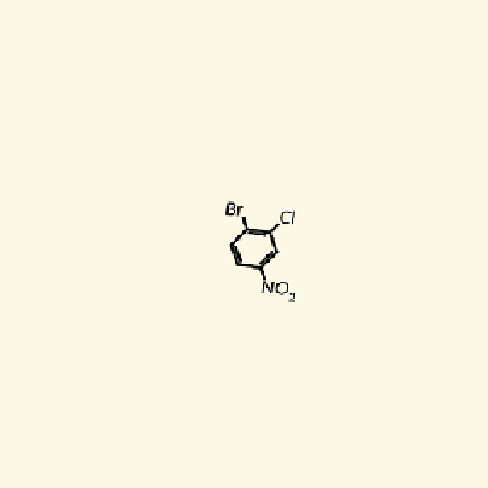 O=[N+]([O-])c1ccc(Br)c(Cl)c1